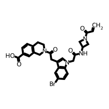 C=CC(=O)N1CC(NC(=O)Cn2cc(CC(=O)N3CCc4ccc(C(=O)O)cc4C3)c3cc(Br)ccc32)C1